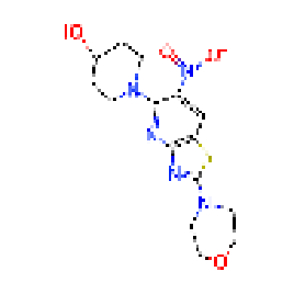 O=[N+]([O-])c1cc2sc(N3CCOCC3)nc2nc1N1CCC(O)CC1